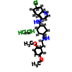 COc1ccc(OC)c(CCNC2CCC(Nc3ccnc4cc(Cl)ccc34)CC2)c1.Cl.Cl